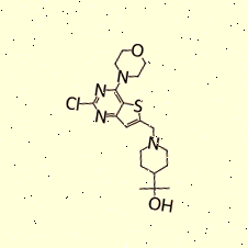 CC(C)(O)C1CCN(Cc2cc3nc(Cl)nc(N4CCOCC4)c3s2)CC1